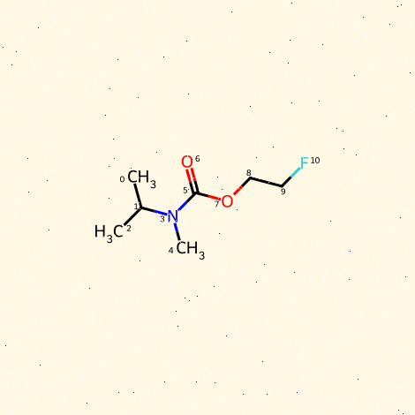 CC(C)N(C)C(=O)OCCF